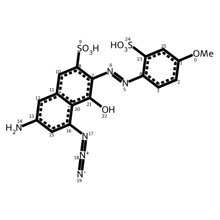 COc1ccc(N=Nc2c(S(=O)(=O)O)cc3cc(N)cc(N=[N+]=[N-])c3c2O)c(S(=O)(=O)O)c1